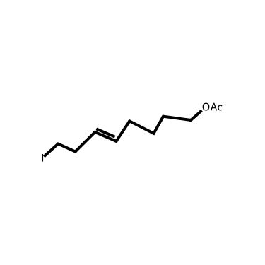 CC(=O)OCCCCC=CCCI